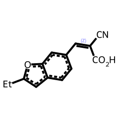 CCc1cc2ccc(/C=C(/C#N)C(=O)O)cc2o1